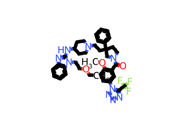 CCOCCn1c(NC2CCN(CCC3(c4ccccc4)CCN(C(=O)c4cc(-n5nnnc5C(F)(F)F)ccc4OC)C3)CC2)nc2ccccc21